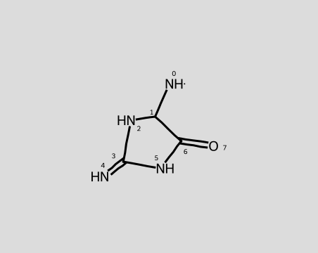 [NH]C1NC(=N)NC1=O